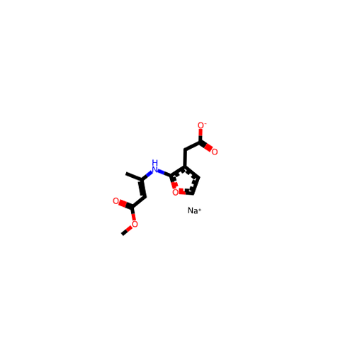 COC(=O)C=C(C)Nc1occc1CC(=O)[O-].[Na+]